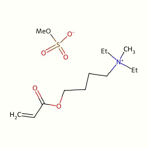 C=CC(=O)OCCCC[N+](C)(CC)CC.COS(=O)(=O)[O-]